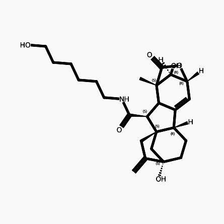 C=C1C[C@]23C[C@@]1(O)CC[C@H]2C1=C[C@H]2OC(=O)[C@@](C)(C1[C@@H]3C(=O)NCCCCCCO)[C@H]2O